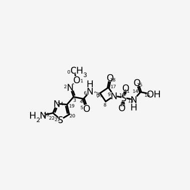 CON=C(C(=O)N[C@H]1CN(S(=O)(=O)NC(=O)O)C1=O)c1csc(N)n1